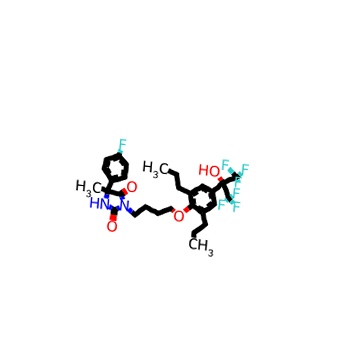 CCCc1cc(C(O)(C(F)(F)F)C(F)(F)F)cc(CCC)c1OCCCCN1C(=O)NC(C)(c2ccc(F)cc2)C1=O